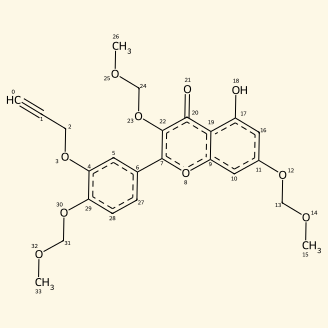 C#CCOc1cc(-c2oc3cc(OCOC)cc(O)c3c(=O)c2OCOC)ccc1OCOC